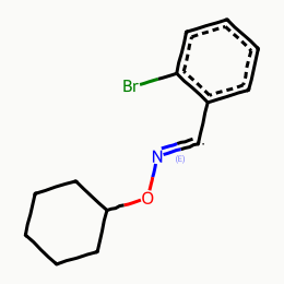 Brc1ccccc1/[C]=N/OC1CCCCC1